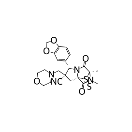 CN1C(=O)[C@@]23C[C@@](C#N)(CN4CCOCC4)[C@H](c4ccc5c(c4)OCO5)N2C(=O)[C@]1(C)S3=S